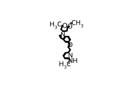 CCCC(CC(=O)OCC)n1ccc2cc(OCCc3cccc(NC)n3)ccc21